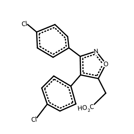 O=C(O)Cc1onc(-c2ccc(Cl)cc2)c1-c1ccc(Cl)cc1